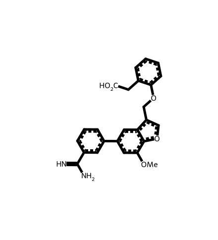 COc1cc(-c2cccc(C(=N)N)c2)cc2c(COc3ccccc3CC(=O)O)coc12